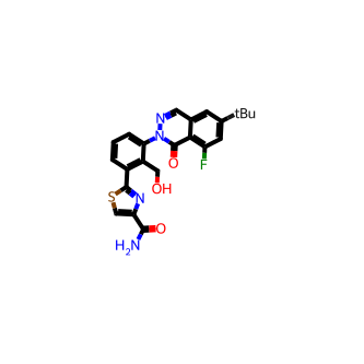 CC(C)(C)c1cc(F)c2c(=O)n(-c3cccc(-c4nc(C(N)=O)cs4)c3CO)ncc2c1